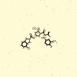 C=C(C)[C@H](Nc1ccc(F)c(C(F)(F)F)c1)C(=O)N1C[C@H](OC(=O)N2Cc3cccc(Cl)c3C2)C[C@H]1C(=O)O